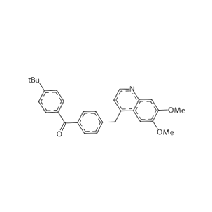 COc1cc2nccc(Cc3ccc(C(=O)c4ccc(C(C)(C)C)cc4)cc3)c2cc1OC